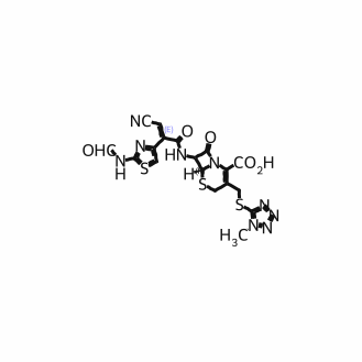 Cn1nnnc1SCC1=C(C(=O)O)N2C(=O)C(NC(=O)/C(=C/C#N)c3csc(NC=O)n3)[C@H]2SC1